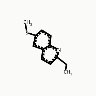 CCc1ccc2cc(SC)ccc2n1